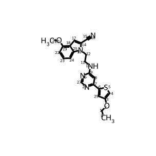 CCOc1csc(-c2cc(NCCn3c(C#N)cc4c(OC)cccc43)ncn2)c1